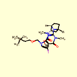 CN(C(=O)OC(C)(C)C)[C@H]1C[C@H]2CC[C@@H]1N2c1nc2c(c(I)cn2COCC[Si](C)(C)C)c(=O)n1C